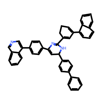 C1=C(C2=NC(c3ccc(-c4cncc5ccccc45)cc3)=CC(c3ccc(-c4ccccc4)cc3)N2)CCC=C1c1cccc2ccccc12